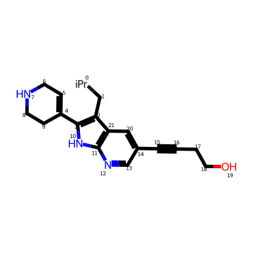 CC(C)Cc1c(C2=CCNCC2)[nH]c2ncc(C#CCCO)cc12